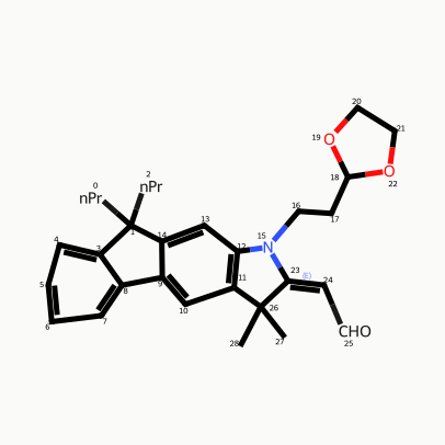 CCCC1(CCC)c2ccccc2-c2cc3c(cc21)N(CCC1OCCO1)/C(=C/C=O)C3(C)C